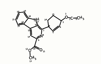 CCOC1C=CC(c2nc(C(=O)OC)cc3c2[nH]c2ccccc23)CC1